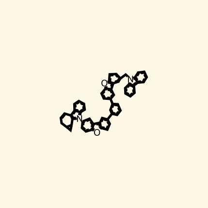 C1=Cc2c(n(-c3ccc4oc5ccc(-c6cccc(-c7ccc8oc9ccc(Cn%10c%11ccccc%11c%11ccccc%11%10)cc9c8c7)c6)cc5c4c3)c3ccccc23)C2CC2C1